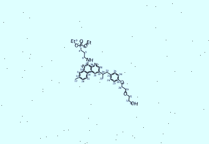 CCOP(=O)(CCCNc1nc2cc(C)ccc2c2cc(C(C)Cc3ccc(OCCOCCO)cc3)cnc12)OCC